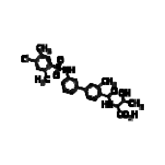 Cc1cc(S(=O)(=O)Nc2cccc(-c3ccc(C(=O)N[C@H](C(=O)O)[C@H](C)O)c(C)c3)c2)c(C)cc1Cl